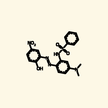 CN(C)c1ccc(N=Nc2cc([N+](=O)[O-])ccc2O)c(NS(=O)(=O)c2ccccc2)c1